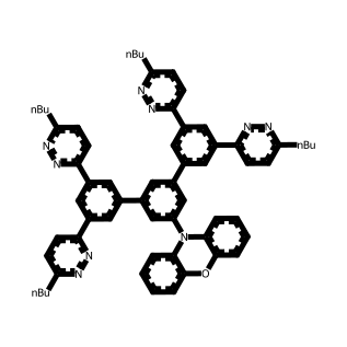 CCCCc1ccc(-c2cc(-c3cc(-c4cc(-c5ccc(CCCC)nn5)cc(-c5ccc(CCCC)nn5)c4)cc(N4c5ccccc5Oc5ccccc54)c3)cc(-c3ccc(CCCC)nn3)c2)nn1